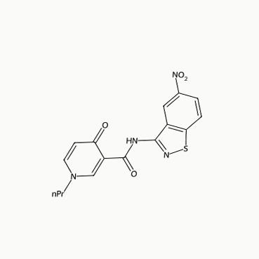 CCCn1ccc(=O)c(C(=O)Nc2nsc3ccc([N+](=O)[O-])cc23)c1